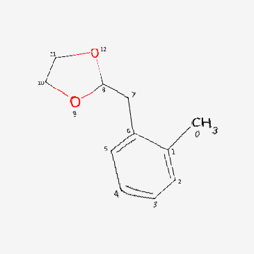 Cc1ccccc1CC1OCCO1